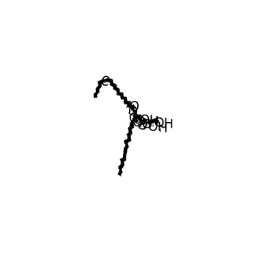 CCCCC/C=C\C/C=C\CCCCCCCCCCCC(=O)OC[C@H](COP(=O)(O)OC[C@@H](O)CO)OC(=O)CCCCCCCCCCCCCCCCC